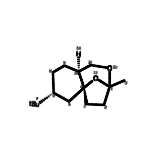 CC12CC[C@]3(C[C@H](C(C)(C)C)CC[C@H]3CO1)O2